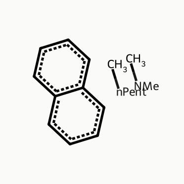 CCCCCC.CNC.c1ccc2ccccc2c1